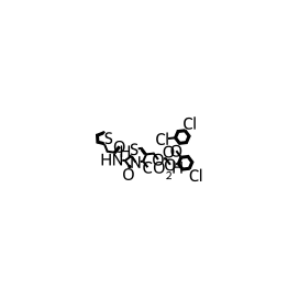 O=C(Cc1cccs1)NC1C(=O)N2C(C(=O)O)C(COC(=O)Oc3cc(Cl)ccc3Oc3ccc(Cl)cc3Cl)=CS[C@H]12